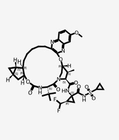 COc1ccc2nc3c(nc2c1)O[C@H]1CN(C(=O)[C@H](C(C)(C)C)NC(=O)O[C@@H]2C[C@@H]4C[C@@H]4[C@H]2CCCCC3)[C@H](C(=O)N[C@@]2(C(=O)NS(=O)(=O)C3CC3)C[C@H]2C(F)F)[C@@H]1C